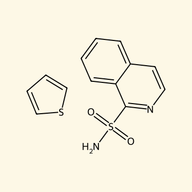 NS(=O)(=O)c1nccc2ccccc12.c1ccsc1